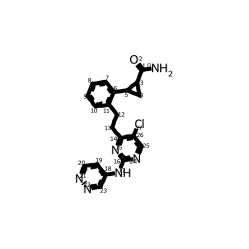 NC(=O)C1CC1c1ccccc1CCc1nc(Nc2ccnnc2)ncc1Cl